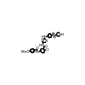 COc1ccc(C(=O)Nc2ccc(Cl)c(C(=O)Nc3cnc(Nc4ccc(S(=O)(=O)C5CCNCC5)cc4)nc3)c2)cc1